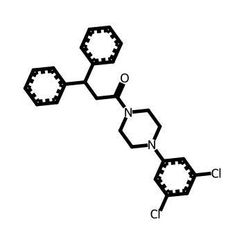 O=C(CC(c1ccccc1)c1ccccc1)N1CCN(c2cc(Cl)cc(Cl)c2)CC1